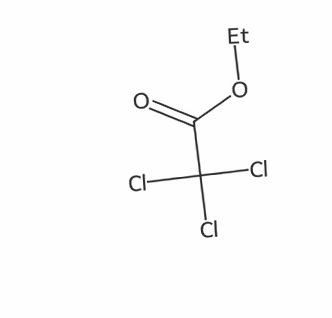 [CH2]COC(=O)C(Cl)(Cl)Cl